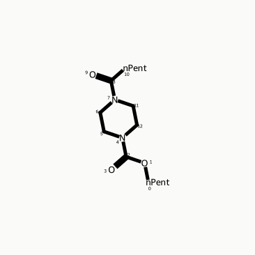 CCCCCOC(=O)N1CCN(C(=O)CCCCC)CC1